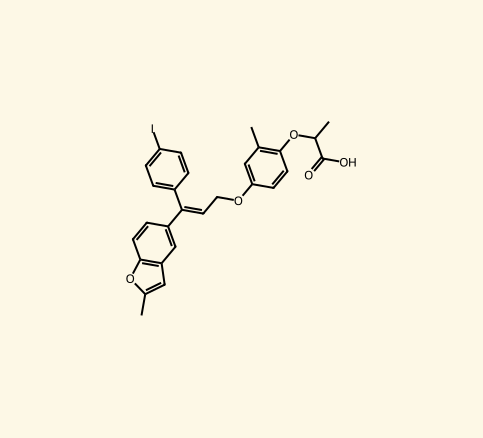 Cc1cc2cc(C(=CCOc3ccc(OC(C)C(=O)O)c(C)c3)c3ccc(I)cc3)ccc2o1